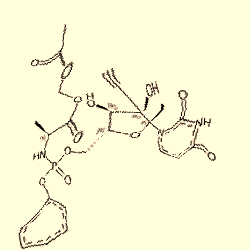 C#C[C@@]1(O)[C@H](O)[C@@H](COP(=O)(N[C@@H](C)C(=O)OCOC(C)=O)Oc2ccccc2)O[C@@]1(C)n1ccc(=O)[nH]c1=O